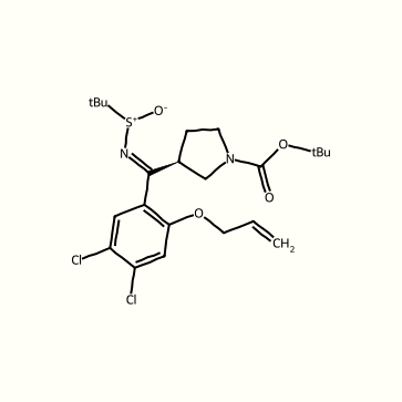 C=CCOc1cc(Cl)c(Cl)cc1C(=N[S+]([O-])C(C)(C)C)[C@H]1CCN(C(=O)OC(C)(C)C)C1